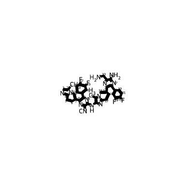 Cc1cnc2ccc(-c3nc(C#N)c(Nc4nc5ccc(-c6nc(CN)c(N)nc6-c6ccc(F)c(F)c6)cn5c4C)nc3-c3ccc(F)c(F)c3)cn12